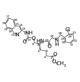 COC(=O)CCC[C@@H](COC(=O)Nc1cc2ccccc2cn1)NC(=O)CNCc1ccccc1Cl